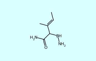 CC=C(C)C(BN)C(N)=O